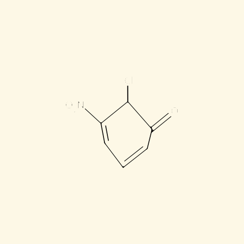 O=C1C=CC=C([N+](=O)[O-])C1Cl